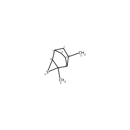 CC1CC2CCC1C1(C)SC21